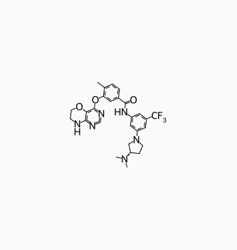 Cc1ccc(C(=O)Nc2cc(N3CC[C@@H](N(C)C)C3)cc(C(F)(F)F)c2)cc1Oc1ncnc2c1OCCN2